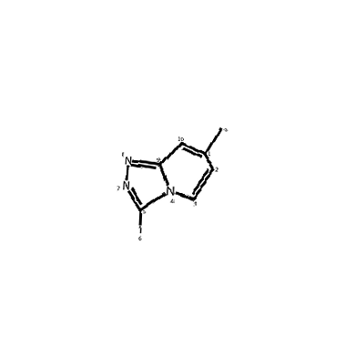 Cc1ccn2c(I)nnc2c1